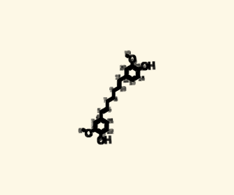 COc1cc(/C=C/CCC/C=C/c2ccc(O)c(OC)c2)ccc1O